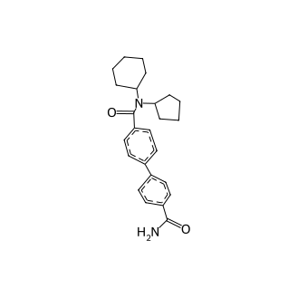 NC(=O)c1ccc(-c2ccc(C(=O)N(C3CCCCC3)C3CCCC3)cc2)cc1